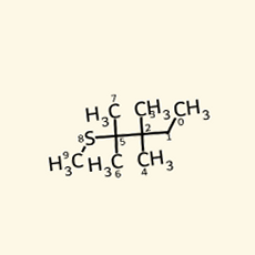 CCC(C)(C)C(C)(C)SC